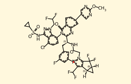 COc1ncc(-c2ccc3c(=O)n(-c4ccc(Cl)c5c(NS(=O)(=O)C6CC6)nn(CC(F)F)c45)c([C@H](Cc4cc(F)cc(F)c4)NC(=O)Cn4nc(C(F)F)c5c4C(F)(F)[C@@H]4C[C@H]54)nc3c2)cn1